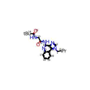 CC(C)Cn1cnc2c(NC(=O)CNC(=O)C(C)(C)C)nc3ccccc3c21